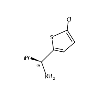 CC(C)[C@H](N)c1ccc(Cl)s1